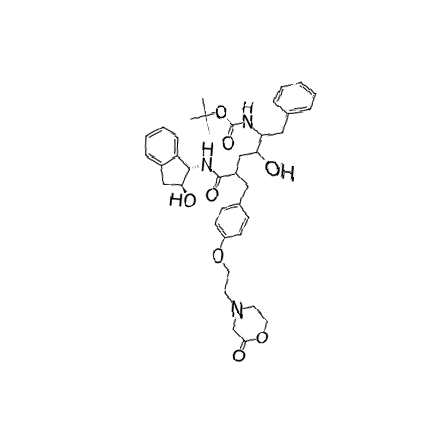 CC(C)(C)OC(=O)NC(Cc1ccccc1)C(O)CC(Cc1ccc(OCCN2CCOC(=O)C2)cc1)C(=O)N[C@H]1c2ccccc2C[C@@H]1O